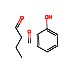 C=O.CCCC=O.Oc1ccccc1